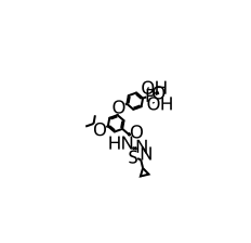 CC(C)Oc1cc(Oc2ccc(P(=O)(O)O)cc2)cc(C(=O)Nc2nnc(C3CC3)s2)c1